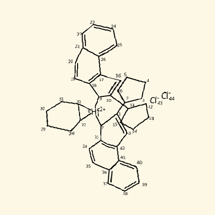 C1=C(C2CCCC2)[CH]([Hf+2]2([CH]3C(C4CCCC4)=Cc4c3ccc3ccccc43)[CH]3CCCC[CH]32)c2ccc3ccccc3c21.[Cl-].[Cl-]